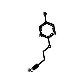 C#CCCOc1ncc(Br)cn1